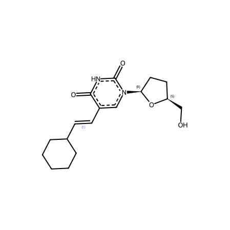 O=c1[nH]c(=O)n([C@H]2CC[C@@H](CO)O2)cc1/C=C/C1CCCCC1